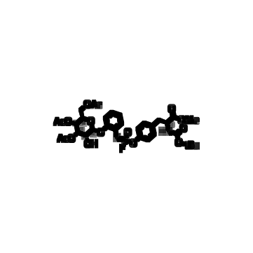 COC(=O)[C@H](Cc1ccc(OS(=O)(F)=Nc2ccccc2O[C@@H]2O[C@H](COC(C)=O)[C@H](OC(C)=O)[C@H](OC(C)=O)[C@H]2O)cc1)NC(=O)OC(C)(C)C